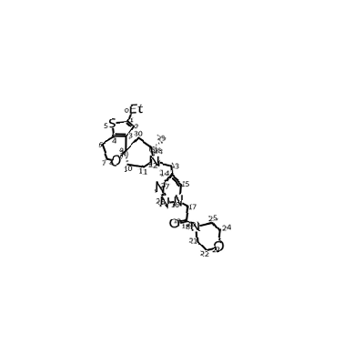 CCc1cc2c(s1)CCO[C@@]21CCN(Cc2cn(CC(=O)N3CCOCC3)nn2)[C@@H](C)C1